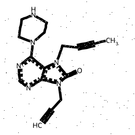 C#CCn1c(=O)n(CC#CC)c2c(N3CCNCC3)ncnc21